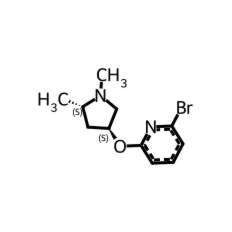 C[C@H]1C[C@H](Oc2cccc(Br)n2)CN1C